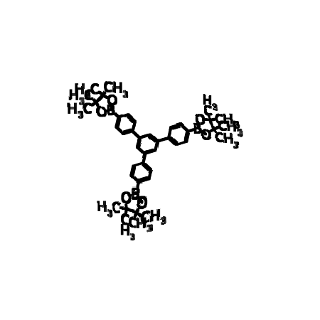 CC1(C)OB(c2ccc(-c3cc(-c4ccc(B5OC(C)(C)C(C)(C)O5)cc4)cc(-c4ccc(B5OC(C)(C)C(C)(C)O5)cc4)c3)cc2)OC1(C)C